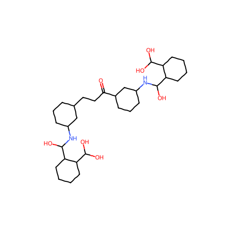 O=C(CCC1CCCC(NC(O)C2CCCCC2C(O)O)C1)C1CCCC(NC(O)C2CCCCC2C(O)O)C1